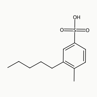 CCCCCc1cc(S(=O)(=O)O)ccc1C